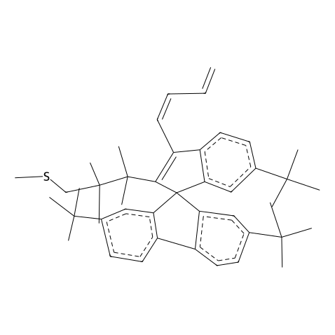 C=C/C=C\C1=C(C(C)(C)C(C)(C)CSC)C2(c3cc(C(C)(C)C)ccc31)c1cc(C(C)(C)C)ccc1-c1ccc(C(C)(C)C)cc12